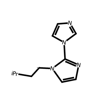 CC(C)C[CH]n1ccnc1-n1ccnc1